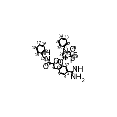 N=C(N)c1ccc(CC(=O)C(=O)NCc2ccccc2)c(OCCN(C(=O)C(F)(F)F)c2ccccc2)c1